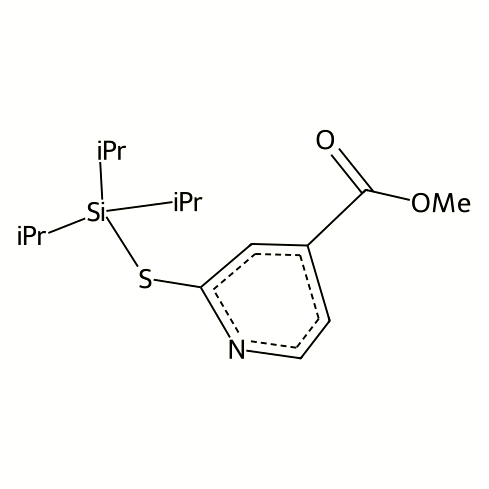 COC(=O)c1ccnc(S[Si](C(C)C)(C(C)C)C(C)C)c1